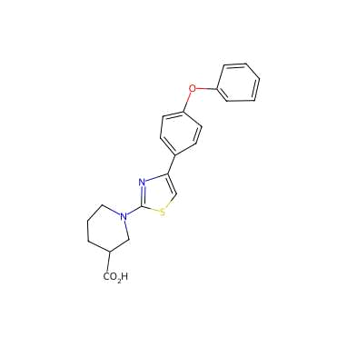 O=C(O)C1CCCN(c2nc(-c3ccc(Oc4ccccc4)cc3)cs2)C1